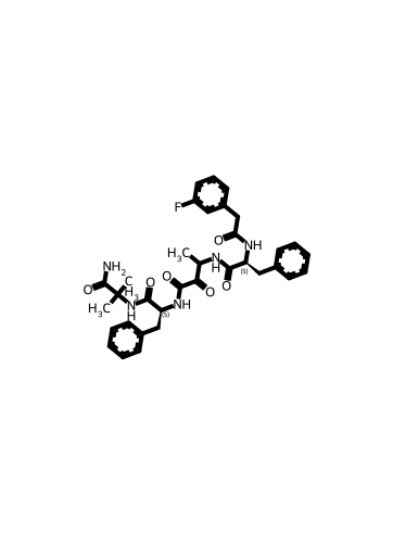 CC(NC(=O)[C@H](Cc1ccccc1)NC(=O)Cc1cccc(F)c1)C(=O)C(=O)N[C@@H](Cc1ccccc1)C(=O)NC(C)(C)C(N)=O